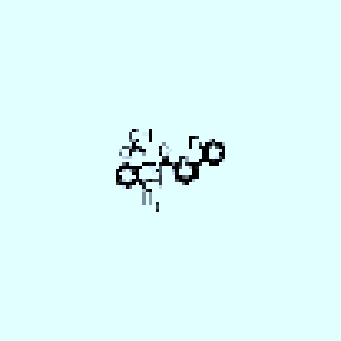 Cc1ccccc1[C@H](CC(=O)O)NC(=O)c1cccc(-c2ccccc2F)n1